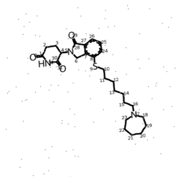 O=C1CCC(N2Cc3c(SCCCCCCCN4CCCCCC4)cccc3C2=O)C(=O)N1